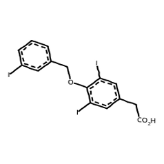 O=C(O)Cc1cc(I)c(OCc2cccc(I)c2)c(I)c1